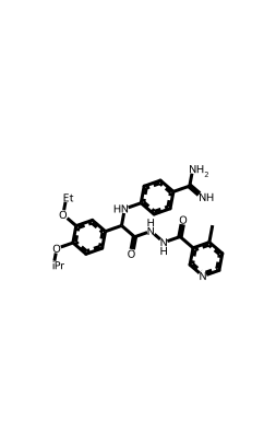 CCOc1cc(C(Nc2ccc(C(=N)N)cc2)C(=O)NNC(=O)c2cnccc2C)ccc1OC(C)C